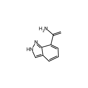 C=C(N)c1cccc2c[nH]nc12